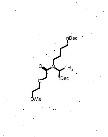 CCCCCCCCCCCCCCN(C(=O)COCCOC)C(C)CCCCCCCCCC